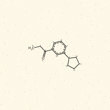 CCC(=O)c1cccc(C2CCCC2)c1